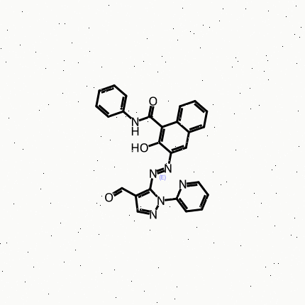 O=Cc1cnn(-c2ccccn2)c1/N=N/c1cc2ccccc2c(C(=O)Nc2ccccc2)c1O